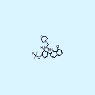 NC1C=C(OC(F)(F)F)C=CC1(NCCN1CCOCC1)c1ccc2cccc(Cl)c2n1